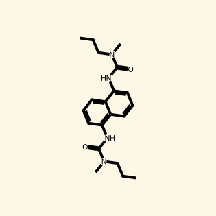 CCCN(C)C(=O)Nc1cccc2c(NC(=O)N(C)CCC)cccc12